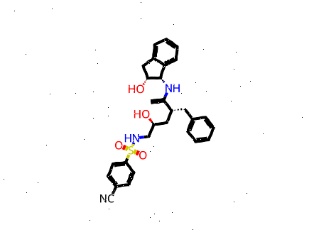 C=C(N[C@H]1c2ccccc2C[C@H]1O)[C@H](Cc1ccccc1)C[C@H](O)CNS(=O)(=O)c1ccc(C#N)cc1